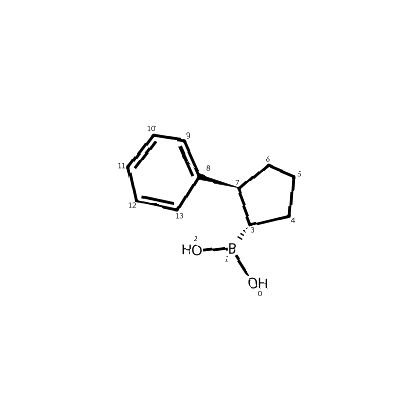 OB(O)[C@H]1CCC[C@@H]1c1ccccc1